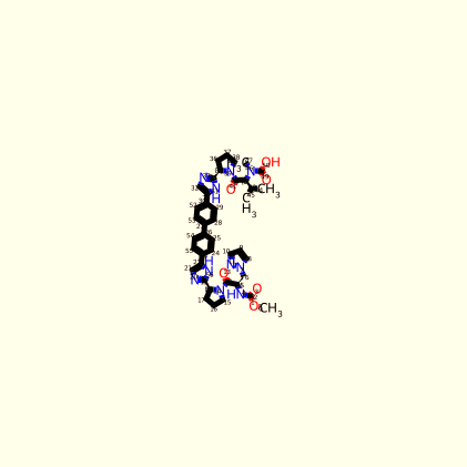 COC(=O)N[C@@H](Cn1cccn1)C(=O)N1CCC[C@H]1c1ncc(-c2ccc(-c3ccc(-c4cnc([C@@H]5CCCN5C(=O)[C@H](C(C)C)N(C)C(=O)O)[nH]4)cc3)cc2)[nH]1